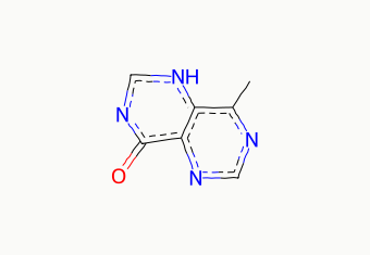 Cc1ncnc2c(=O)nc[nH]c12